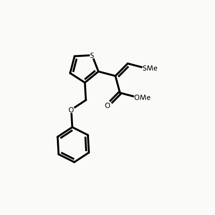 COC(=O)C(=CSC)c1sccc1COc1ccccc1